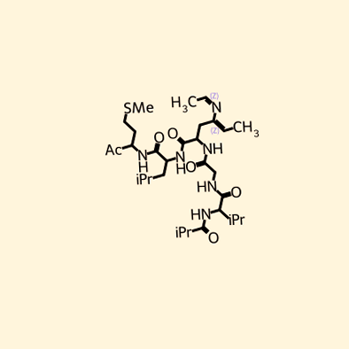 C/C=N\C(=C/C)CC(NC(=O)CNC(=O)C(NC(=O)C(C)C)C(C)C)C(=O)NC(CC(C)C)C(=O)NC(CCSC)C(C)=O